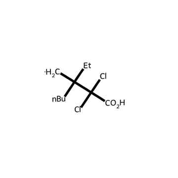 [CH2]C(CC)(CCCC)C(Cl)(Cl)C(=O)O